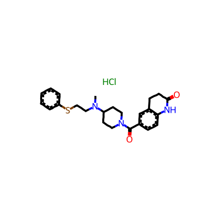 CN(CCSc1ccccc1)C1CCN(C(=O)c2ccc3c(c2)CCC(=O)N3)CC1.Cl